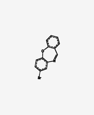 Brc1ccc2c(c1)N=Cc1ccccc1O2